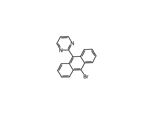 Brc1c2ccccc2c(-c2ncccn2)c2ccccc12